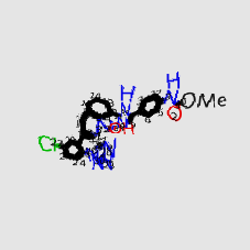 COC(=O)Nc1ccc(-c2cnc(C3CCCc4cc(-c5cc(Cl)ccc5-n5cnnn5)c[n+](O)c43)[nH]2)cc1